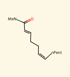 CCCCC/C=C\CC/C=C/C(=O)NC